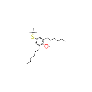 CCCCCCc1cc(SC(C)(C)C)cc(CCCCCC)c1[O]